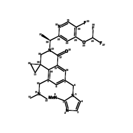 CNc1nccn1Cc1cc(CN(C)C)c2c(c1)C(=O)N([C@@H](C)c1cc(OC(F)F)c(F)cn1)CC21CC1